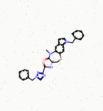 CN1C(=O)[C@@H](NC(=O)c2ncn(Cc3ccccc3)n2)CSc2cc3c(ccn3Cc3ccccc3)cc21